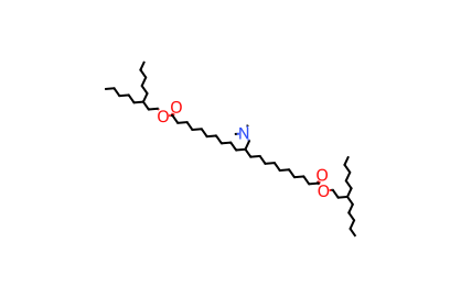 CCCCCC(CCCCC)CCOC(=O)CCCCCCCCCC(CCCCCCCCCC(=O)OCCC(CCCCC)CCCCC)CN(C)C